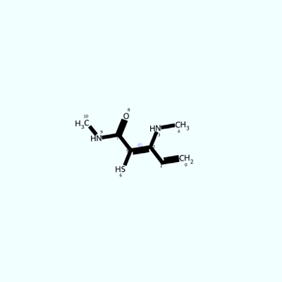 C=C/C(NC)=C(\S)C(=O)NC